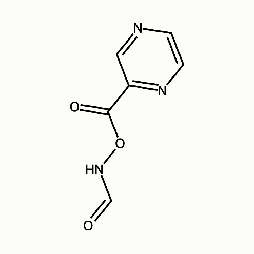 O=CNOC(=O)c1cnccn1